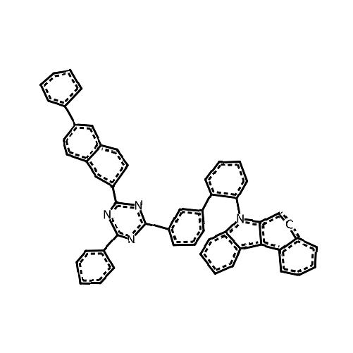 c1ccc(-c2ccc3cc(-c4nc(-c5ccccc5)nc(-c5cccc(-c6ccccc6-n6c7ccccc7c7c8ccccc8ccc76)c5)n4)ccc3c2)cc1